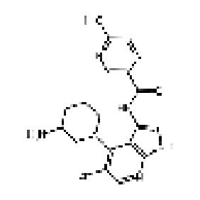 Cc1cnc(C(=O)Nc2c[nH]c3ncc(Br)c(N4CCCC(N)C4)c23)cn1